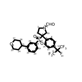 O=CN1CCC(c2ccc(C(F)(C(F)(F)F)C(F)(F)F)cc2)(S(=O)(=O)c2cccc(C3CCOCC3)c2)C1